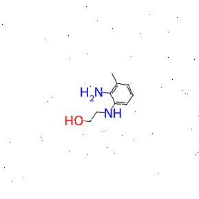 Cc1cccc(NCCO)c1N